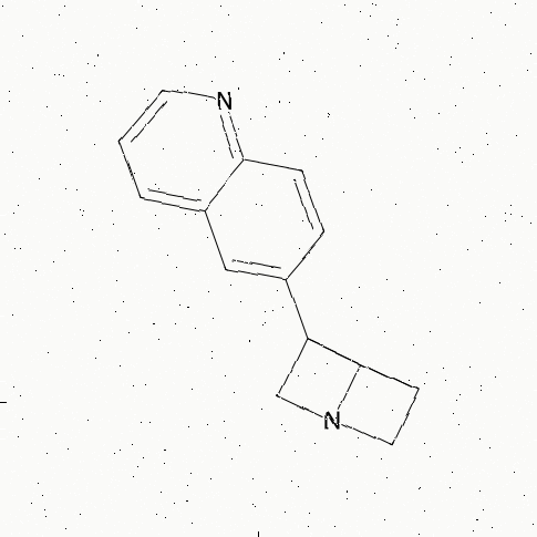 c1cnc2ccc(C34CN5CC3C54)cc2c1